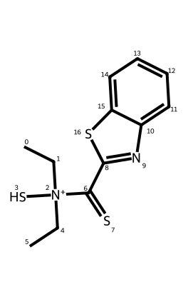 CC[N+](S)(CC)C(=S)c1nc2ccccc2s1